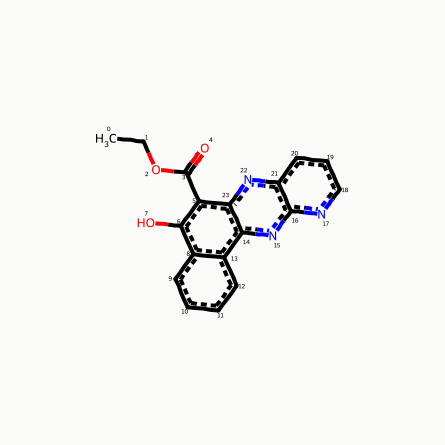 CCOC(=O)c1c(O)c2ccccc2c2nc3ncccc3nc12